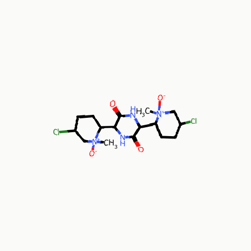 C[N+]1([O-])CC(Cl)CCC1C1NC(=O)C(C2CCC(Cl)C[N+]2(C)[O-])NC1=O